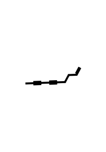 C=CCCC#CC#CC